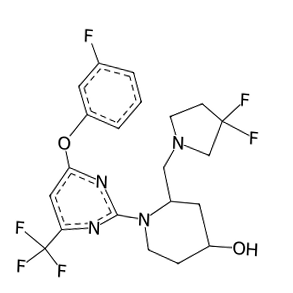 OC1CCN(c2nc(Oc3cccc(F)c3)cc(C(F)(F)F)n2)C(CN2CCC(F)(F)C2)C1